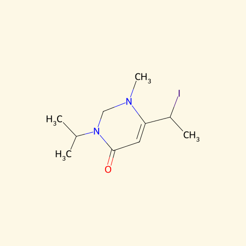 CC(I)C1=CC(=O)N(C(C)C)CN1C